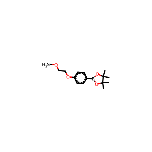 CC1(C)OB(c2ccc(OCCO[SiH3])cc2)OC1(C)C